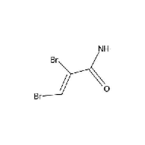 [NH]C(=O)/C(Br)=C/Br